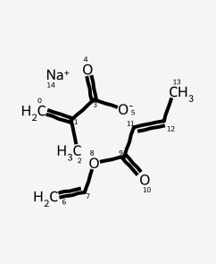 C=C(C)C(=O)[O-].C=COC(=O)/C=C/C.[Na+]